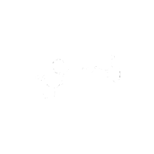 CCc1ccccc1OC/C=C/c1ccccc1O[C@H]1CCCN1C(=O)O